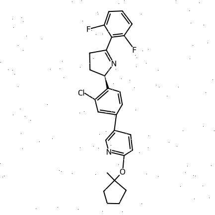 CC1(Oc2ccc(-c3ccc([C@H]4CCC(c5c(F)cccc5F)=N4)c(Cl)c3)cn2)CCCC1